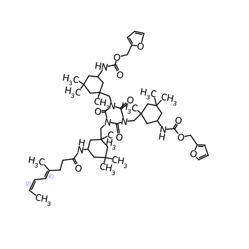 C/C=C\C=C(/C)CCC(=O)NC1CC(C)(C)CC(C)(Cn2c(=O)n(CC3(C)CC(NC(=O)OCc4ccco4)CC(C)(C)C3)c(=O)n(CC3(C)CC(NC(=O)OCc4ccco4)CC(C)(C)C3)c2=O)C1